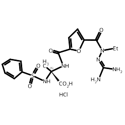 CCN(N=C(N)N)C(=O)c1ccc(C(=O)N[C@@](C)(NS(=O)(=O)c2ccccc2)C(=O)O)o1.Cl